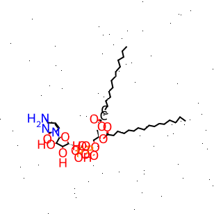 CCCCCCCCCCCCCCCC(=O)OC[C@H](COP(=O)(O)OP(=O)(O)OC[C@H]1O[C@@H](n2ccc(N)nc2=O)[C@H](O)[C@@H]1O)OC(=O)CCCCCCCCCCCCCCC